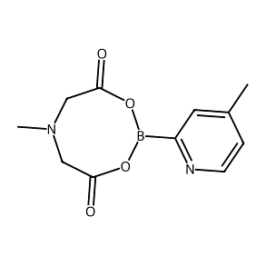 Cc1ccnc(B2OC(=O)CN(C)CC(=O)O2)c1